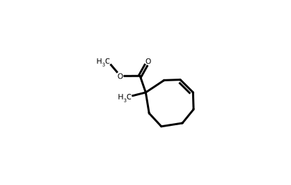 COC(=O)C1(C)C/C=C\CCCC1